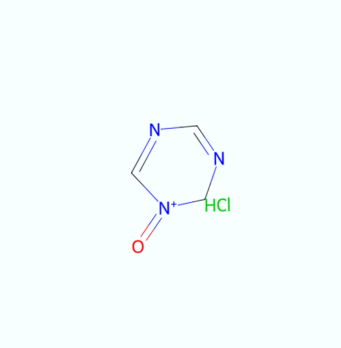 Cl.O=[N+]1C=NC=NC1